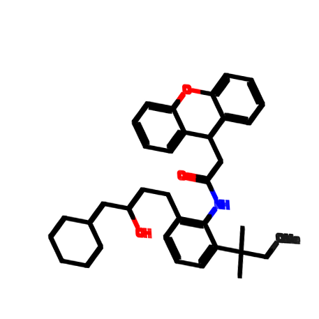 COCC(C)(C)c1cccc(CCC(O)CC2CCCCC2)c1NC(=O)CC1c2ccccc2Oc2ccccc21